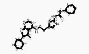 O=C(Nc1ccccc1)Nc1ncc(CCNc2ncnc3oc(-c4ccccc4)c(I)c23)s1